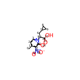 Cc1ccn([C@@H](CC2CC2)C(=O)O)c(=O)c1[N+](=O)[O-]